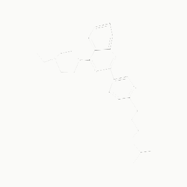 CCN1CCN(c2nc(-c3ccc(CCCOC(C)C)nc3)cc3ccccc23)CC1